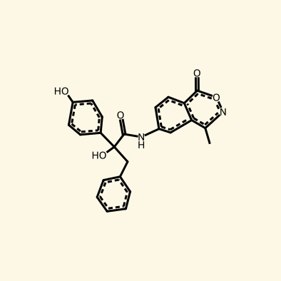 Cc1noc(=O)c2ccc(NC(=O)C(O)(Cc3ccccc3)c3ccc(O)cc3)cc12